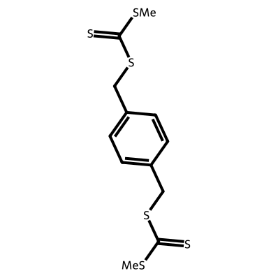 CSC(=S)SCc1ccc(CSC(=S)SC)cc1